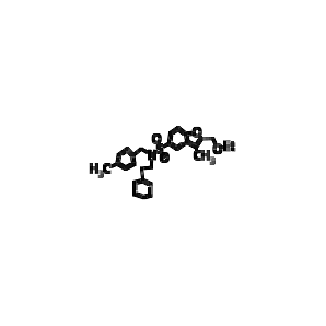 CCOCc1oc2ccc(S(=O)(=O)N(CCc3ccccc3)Cc3ccc(C)cc3)cc2c1C